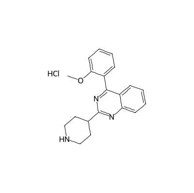 COc1ccccc1-c1nc(C2CCNCC2)nc2ccccc12.Cl